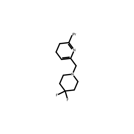 CC(C)C1=NC(CN2CCC(F)(F)CC2)=CCC1